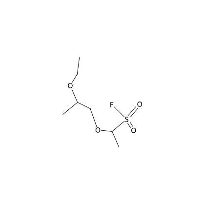 CCOC(C)COC(C)S(=O)(=O)F